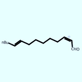 CCCCC=CCCCCC/C=C\C=O